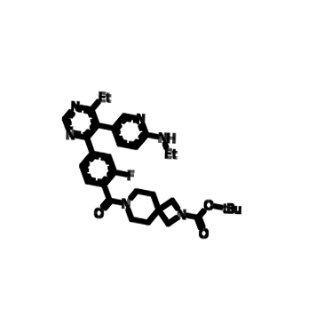 CCNc1ccc(-c2c(CC)ncnc2-c2ccc(C(=O)N3CCC4(CC3)CN(C(=O)OC(C)(C)C)C4)c(F)c2)cn1